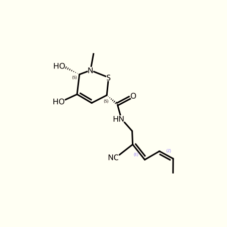 C/C=C\C=C(\C#N)CNC(=O)[C@@H]1C=C(O)[C@H](O)N(C)S1